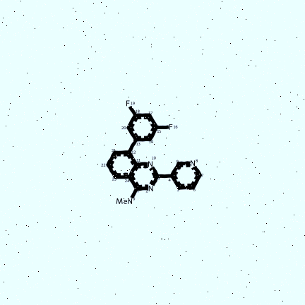 CNc1nc(-c2cccnc2)nc2c(-c3cc(F)cc(F)c3)cccc12